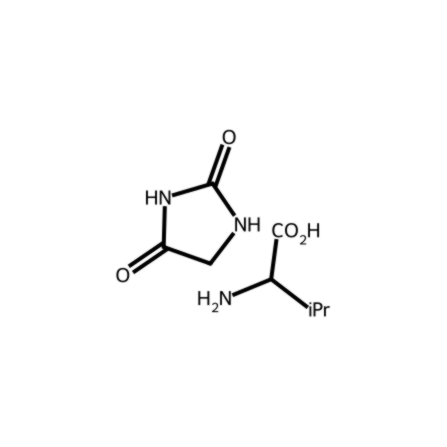 CC(C)C(N)C(=O)O.O=C1CNC(=O)N1